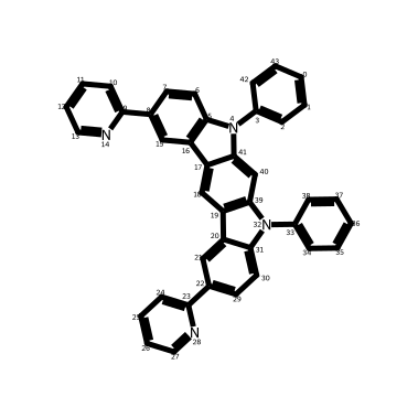 c1ccc(-n2c3ccc(-c4ccccn4)cc3c3cc4c5cc(-c6ccccn6)ccc5n(-c5ccccc5)c4cc32)cc1